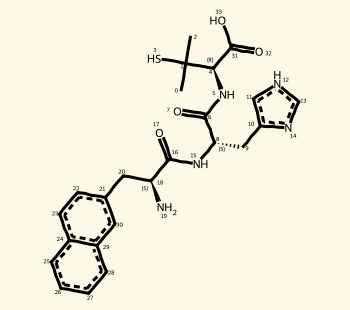 CC(C)(S)[C@H](NC(=O)[C@H](Cc1c[nH]cn1)NC(=O)[C@@H](N)Cc1ccc2ccccc2c1)C(=O)O